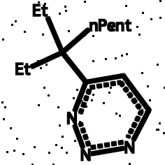 CCCCCC(CC)(CC)c1ccnnn1